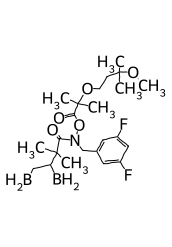 BCC(B)C(C)(C)C(=O)N(Cc1cc(F)cc(F)c1)OC(=O)C(C)(C)OCCC(C)(C)OC